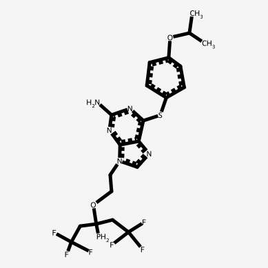 CC(C)Oc1ccc(Sc2nc(N)nc3c2ncn3CCOC(P)(CC(F)(F)F)CC(F)(F)F)cc1